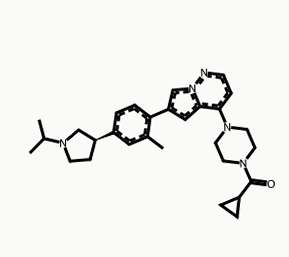 Cc1cc([C@H]2CCN(C(C)C)C2)ccc1-c1cc2c(N3CCN(C(=O)C4CC4)CC3)ccnn2c1